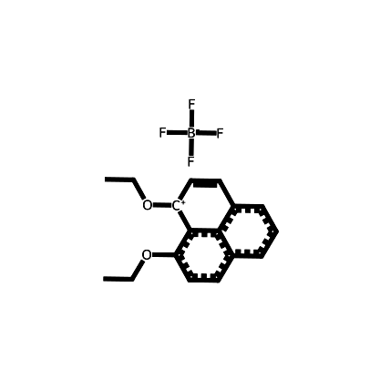 CCOc1ccc2cccc3c2c1[C+](OCC)C=C3.F[B-](F)(F)F